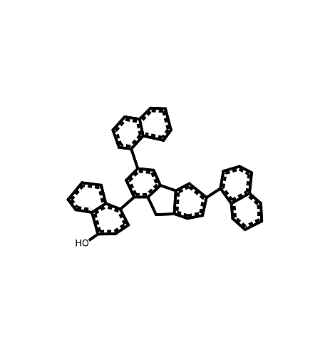 Oc1ccc(-c2cc(-c3cccc4ccccc34)cc3c2Cc2ccc(-c4cccc5ccccc45)cc2-3)c2ccccc12